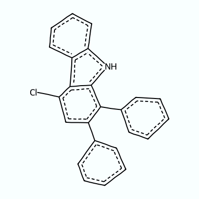 Clc1cc(-c2ccccc2)c(-c2ccccc2)c2[nH]c3ccccc3c12